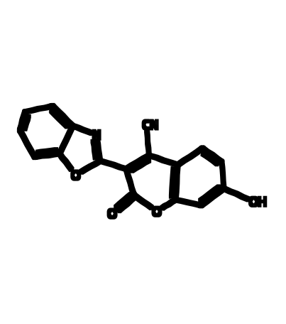 N#Cc1c(-c2nc3ccccc3o2)c(=O)oc2cc(O)ccc12